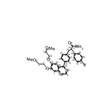 COCCOc1cc2ncnc(-c3ccc(CC(C(N)=O)c4ccc(F)cc4)cc3)c2cc1OCCOC